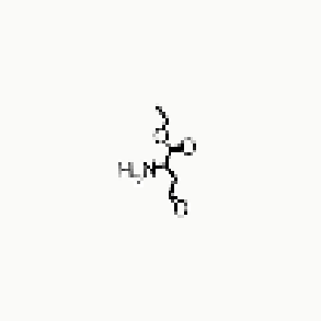 CCOC(=O)C(N)CC=O